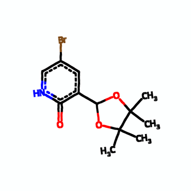 CC1(C)OC(c2cc(Br)c[nH]c2=O)OC1(C)C